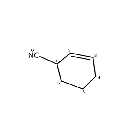 N#CC1C=CCCC1